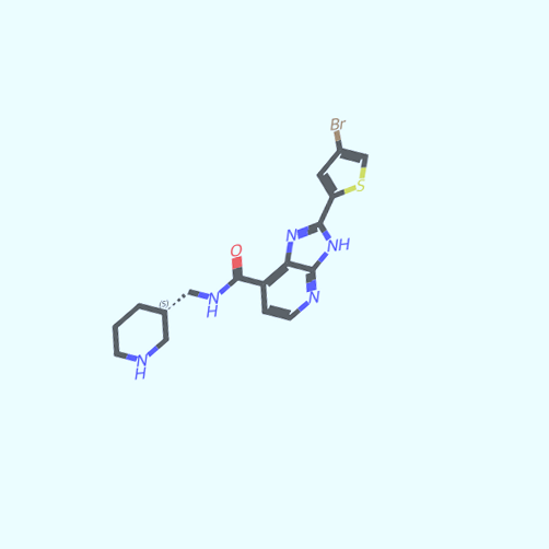 O=C(NC[C@H]1CCCNC1)c1ccnc2[nH]c(-c3cc(Br)cs3)nc12